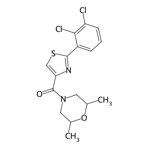 CC1CN(C(=O)c2csc(-c3cccc(Cl)c3Cl)n2)CC(C)O1